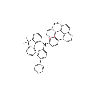 CC1(C)c2ccccc2-c2c(N(c3ccc(-c4ccccc4)cc3)c3ccc(-c4cccc5ccc6ccc7ccccc7c6c45)cc3)cccc21